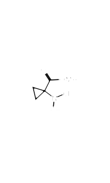 COC(=O)C1(N(C)C)CC1